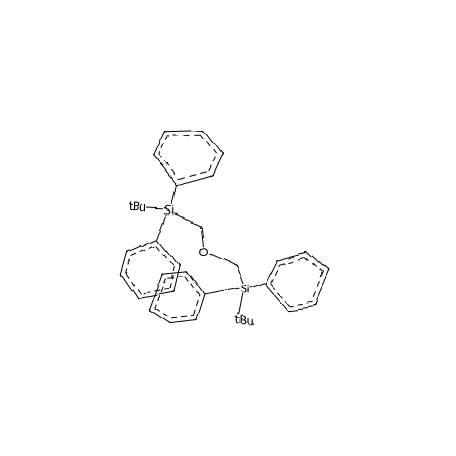 CC(C)(C)[Si](COC[Si](c1ccccc1)(c1ccccc1)C(C)(C)C)(c1ccccc1)c1ccccc1